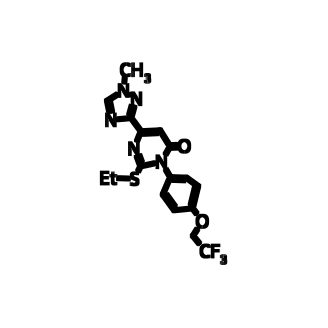 CCSc1nc(-c2ncn(C)n2)cc(=O)n1-c1ccc(OCC(F)(F)F)cc1